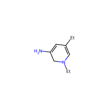 CCC1=CN(CC)CC(N)=C1